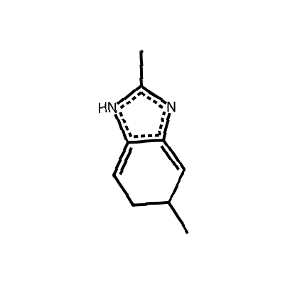 Cc1nc2c([nH]1)=CCC(C)C=2